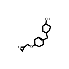 OC1CCC(CC2=CCC(OCC3CO3)CC2)CC1